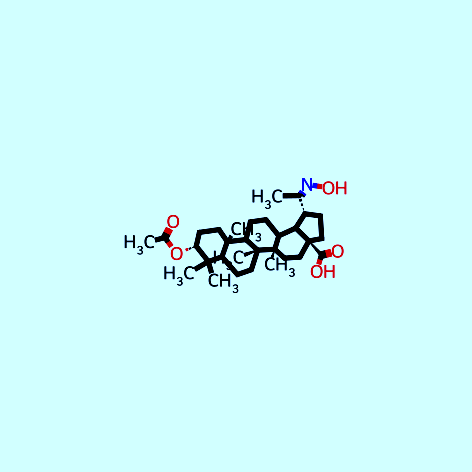 CC(=O)O[C@@H]1CC[C@@]2(C)C(CC[C@]3(C)C2CCC2C4[C@H](/C(C)=N\O)CC[C@]4(C(=O)O)CC[C@]23C)C1(C)C